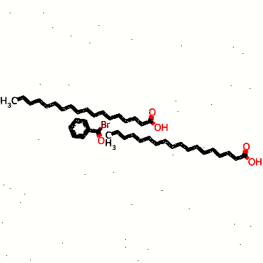 CCCCCCCCCCCCCCCCCC(=O)O.CCCCCCCCCCCCCCCCCC(=O)O.O=C(Br)c1ccccc1